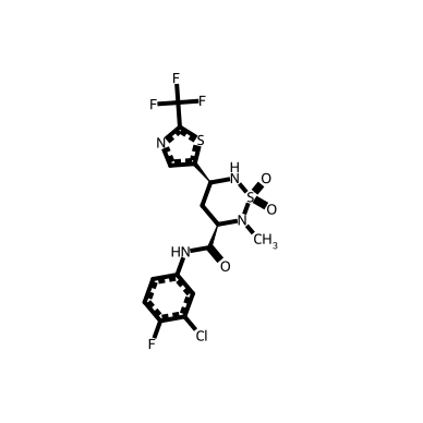 CN1[C@@H](C(=O)Nc2ccc(F)c(Cl)c2)C[C@@H](c2cnc(C(F)(F)F)s2)NS1(=O)=O